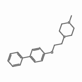 CN1CCN(CCOc2[c]cc(-c3ccccc3)cc2)CC1